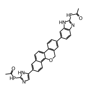 CC(=O)Pc1ncc(-c2ccc3c4c(ccc3c2)-c2ccc(-c3ccc5nc(PC(C)=O)[nH]c5c3)cc2CO4)[nH]1